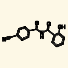 N#Cc1ccc(C(=O)NC(=O)c2ccccc2O)cc1